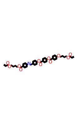 C=CC(=O)OCCCCOC(=O)c1ccc(/N=C/c2ccc(OC(=O)c3ccc(OC(=O)c4ccc(OCCCCOC(=O)C=C)cc4)cc3)cc2)cc1